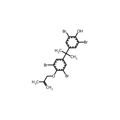 C=C(C)COc1c(Br)cc(C(C)(C)c2cc(Br)c(O)c(Br)c2)cc1Br